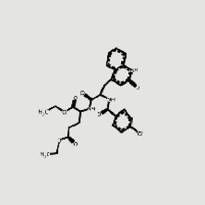 CCOC(=O)CCC(NC(=O)C(Cc1cc(=O)[nH]c2ccccc12)NC(=O)c1ccc(Cl)cc1)C(=O)OCC